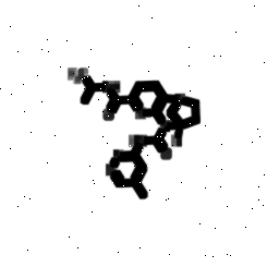 Cc1cnnc(NC(=O)N2c3nc(C(=O)NC(C)C(F)(F)F)ccc3N3CC[C@H]2C3)c1